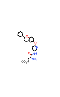 NC(CC(=O)O)C(=O)Nc1ccc(Oc2ccc3c(c2)CCC(c2ccccc2)O3)nc1